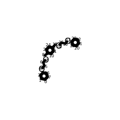 c1ccc(OCCOCc2ccc(COCCOc3ccccc3)cc2)cc1